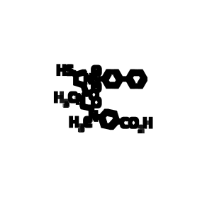 CN(CC(=O)N(C)c1ccc(C(=O)O)cc1)C(=O)C1CC(S)CN1S(=O)(=O)c1ccc(-c2ccccc2)cc1